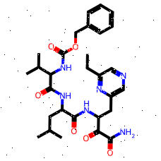 CCc1cncc(CC(NC(=O)C(CC(C)C)NC(=O)C(NC(=O)OCc2ccccc2)C(C)C)C(=O)C(N)=O)n1